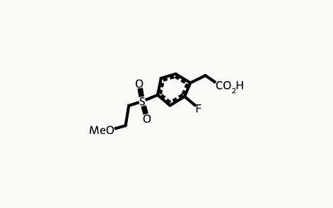 COCCS(=O)(=O)c1ccc(CC(=O)O)c(F)c1